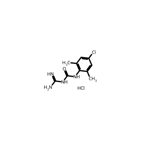 Cc1cc(Cl)cc(C)c1NC(=O)NC(=N)N.Cl